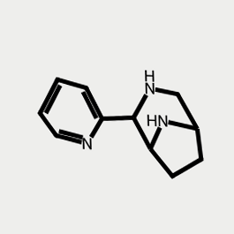 c1ccc(C2NCC3CCC2N3)nc1